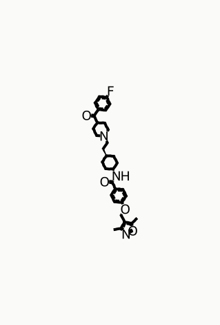 Cc1noc(C)c1COc1ccc(C(=O)N[C@H]2CC[C@H](CCN3CCC(C(=O)c4ccc(F)cc4)CC3)CC2)cc1